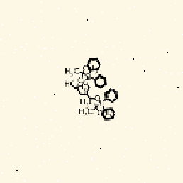 C#CCC(CO[Si](c1ccccc1)(c1ccccc1)C(C)(C)C)CO[Si](c1ccccc1)(c1ccccc1)C(C)(C)C